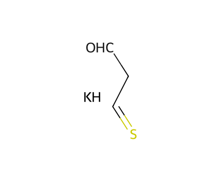 O=CCC=S.[KH]